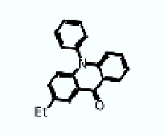 CCc1ccc2c(c1)c(=O)c1ccccc1n2-c1ccccc1